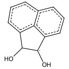 O[C]1c2cccc3cccc(c23)C1O